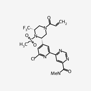 C=CC(=O)N1C[C@H](c2cc(Cl)nc(-c3cc(C(=O)NC)ncn3)c2)N(S(C)(=O)=O)[C@H](C(F)(F)F)C1